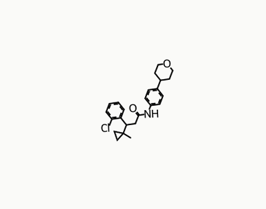 CC1(C(CC(=O)Nc2ccc(C3CCOCC3)cc2)c2ccccc2Cl)CC1